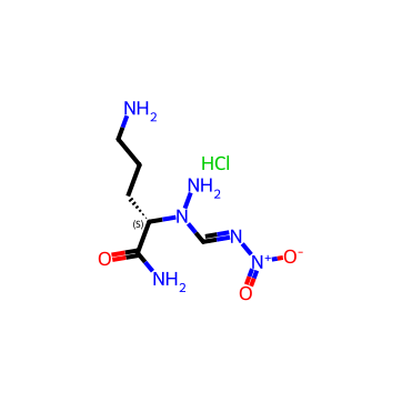 Cl.NCCC[C@@H](C(N)=O)N(N)C=N[N+](=O)[O-]